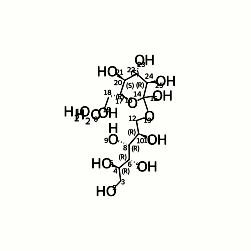 O.O.OC[C@@H](O)[C@@H](O)[C@H](O)[C@H](O)COC1(O)O[C@H](CO)[C@@H](O)[C@H](O)[C@H]1O